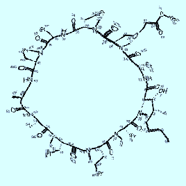 C/C=C/C[C@@H](C)[C@@H](O)[C@H]1C(=O)N[C@@H](CC)C(=O)N(C)[C@H](COCC(=O)OC(C)(C)C)C(=O)N(C)[C@@H](CC(C)C)C(=O)N[C@H](C(C)C)C(=O)N(C)[C@H](CC(C)C)C(=O)N[C@H](C)C(=O)N[C@@H](C)C(=O)N(C)[C@@H](CC(C)C)C(=O)N(C)[C@@H](CCC(C)C)C(=O)N(C)[C@@H](C(C)C)C(=O)N1C